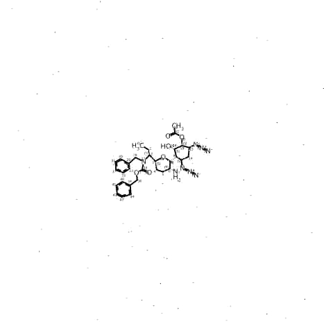 CC[C@@H]([C@@H]1CC[C@@H](N)[C@@H](C2C(N=[N+]=[N-])CC(N=[N+]=[N-])[C@H](OC(C)=O)[C@H]2O)O1)N(Cc1ccccc1)C(=O)OCc1ccccc1